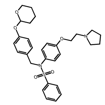 O=S(=O)(c1ccccc1)N(Cc1ccc(OC2CCCCO2)cc1)c1ccc(OCCN2CCCC2)cc1